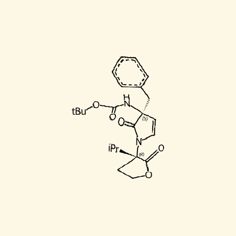 CC(C)[C@]1(N2C=C[C@](Cc3ccccc3)(NC(=O)OC(C)(C)C)C2=O)CCOC1=O